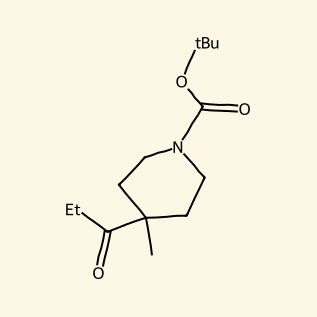 CCC(=O)C1(C)CCN(C(=O)OC(C)(C)C)CC1